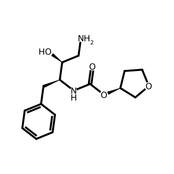 NC[C@H](O)[C@H](Cc1ccccc1)NC(=O)O[C@H]1CCOC1